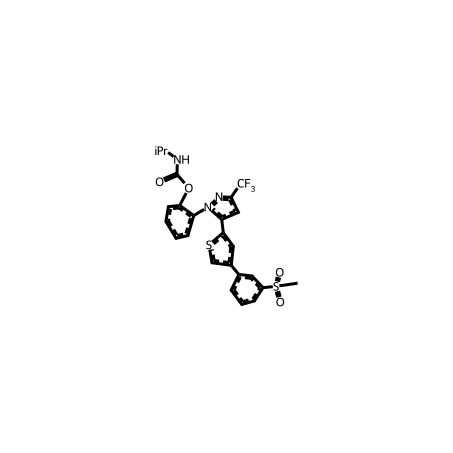 CC(C)NC(=O)Oc1ccccc1-n1nc(C(F)(F)F)cc1-c1cc(-c2cccc(S(C)(=O)=O)c2)cs1